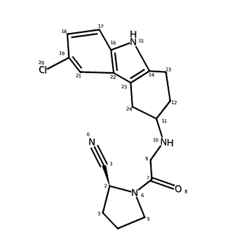 N#C[C@@H]1CCCN1C(=O)CNC1CCc2[nH]c3ccc(Cl)cc3c2C1